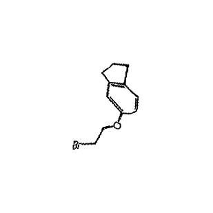 BrCCOc1ccc2c(c1)CCC2